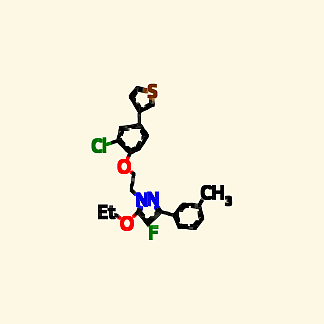 CCOc1c(F)c(-c2cccc(C)c2)nn1CCOc1ccc(-c2ccsc2)cc1Cl